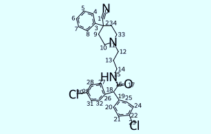 N#CC1(c2ccccc2)CCN(CCCNC(=O)C(c2ccc(Cl)cc2)c2ccc(Cl)cc2)CC1